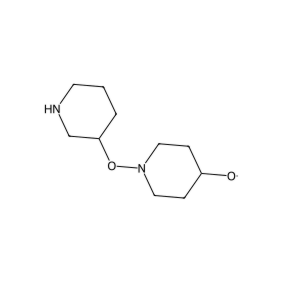 [O]C1CCN(OC2CCCNC2)CC1